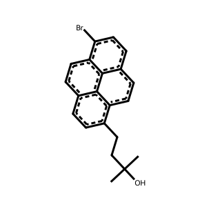 CC(C)(O)CCc1ccc2ccc3c(Br)ccc4ccc1c2c43